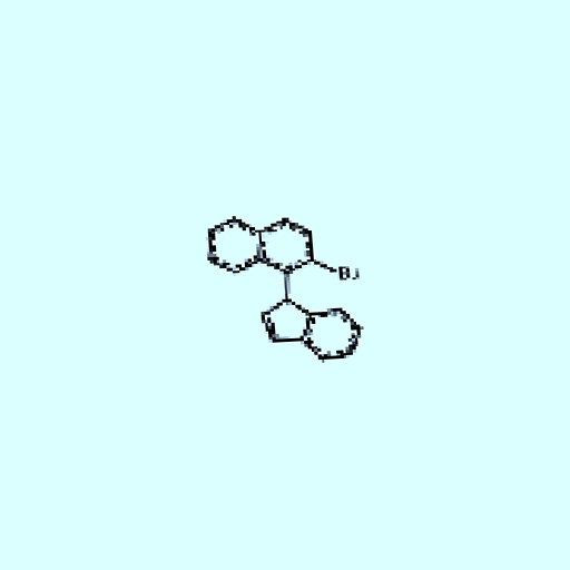 CCC(C)c1ccc2ccccc2c1[C]1C=Cc2ccccc21